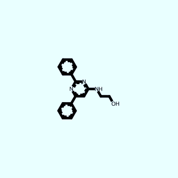 OCCNc1cc(-c2ccccc2)nc(-c2ccccc2)n1